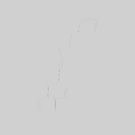 O/N=C\c1cc(C#CCCCc2ccccc2)cnc1F